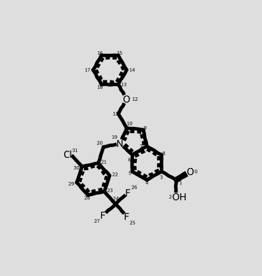 O=C(O)c1ccc2c(c1)cc(COc1ccccc1)n2Cc1cc(C(F)(F)F)ccc1Cl